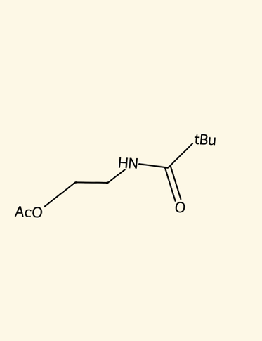 CC(=O)OCCNC(=O)C(C)(C)C